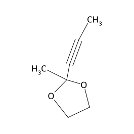 CC#CC1(C)OCCO1